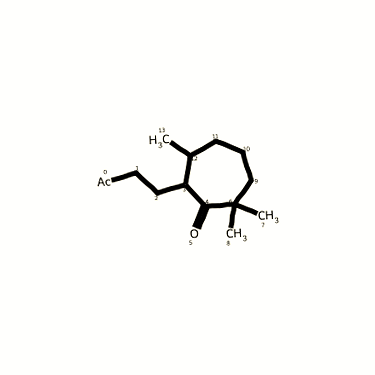 CC(=O)CCC1C(=O)C(C)(C)CCCC1C